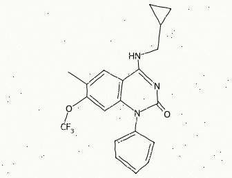 Cc1cc2c(NCC3CC3)nc(=O)n(-c3ccccc3)c2cc1OC(F)(F)F